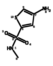 CNS(=O)(=O)c1cc(N)cs1